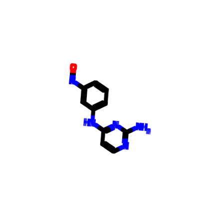 Nc1nccc(Nc2cccc(N=O)c2)n1